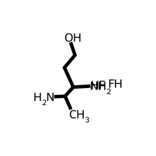 CC(N)C(N)CCO.F.F